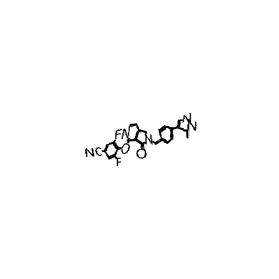 Cc1nn(C)cc1-c1ccc(CN2Cc3ccnc(Oc4c(F)cc(C#N)cc4F)c3C2=O)cc1